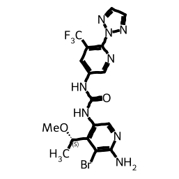 CO[C@@H](C)c1c(NC(=O)Nc2cnc(-n3nccn3)c(C(F)(F)F)c2)cnc(N)c1Br